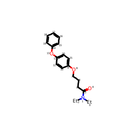 CCN(CC)C(=O)CCCOc1ccc(Oc2ccccc2)cc1